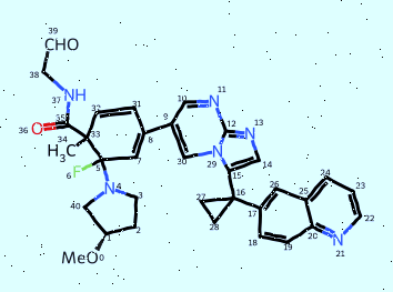 CO[C@@H]1CCN(C2(F)C=C(c3cnc4ncc(C5(c6ccc7ncccc7c6)CC5)n4c3)C=CC2(C)C(=O)NCC=O)C1